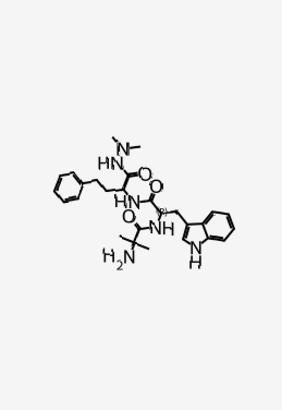 CN(C)NC(=O)C(CCc1ccccc1)NC(=O)[C@@H](Cc1c[nH]c2ccccc12)NC(=O)C(C)(C)N